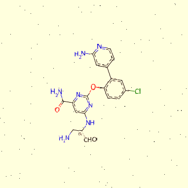 NC[C@@H](C=O)Nc1cc(C(N)=O)nc(Oc2ccc(Cl)cc2-c2ccnc(N)c2)n1